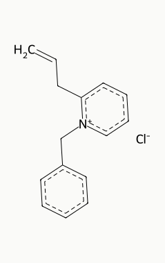 C=CCc1cccc[n+]1Cc1ccccc1.[Cl-]